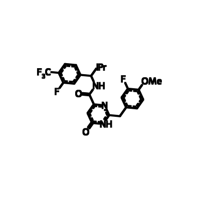 COc1ccc(Cc2nc(C(=O)NC(c3ccc(C(F)(F)F)c(F)c3)C(C)C)cc(=O)[nH]2)cc1F